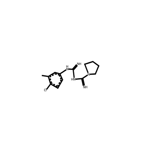 Cc1cc(NC(=N)NC(=N)N2CCCC2)ccc1Cl